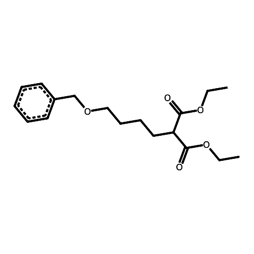 CCOC(=O)C(CCCCOCc1ccccc1)C(=O)OCC